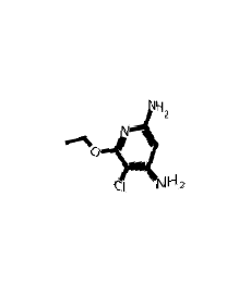 CCOc1nc(N)cc(N)c1Cl